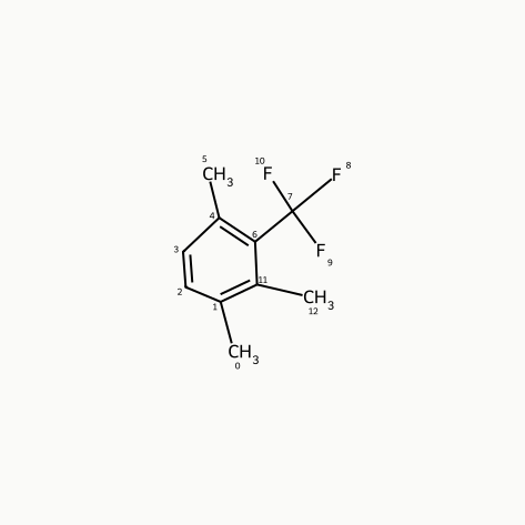 Cc1ccc(C)c(C(F)(F)F)c1C